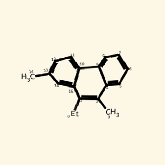 CCc1c(C)c2ccccc2c2ccc(C)cc12